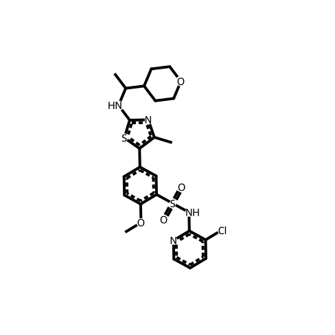 COc1ccc(-c2sc(NC(C)C3CCOCC3)nc2C)cc1S(=O)(=O)Nc1ncccc1Cl